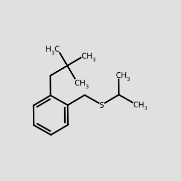 CC(C)SCc1ccccc1CC(C)(C)C